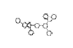 c1ccc(-c2cnc3c(c2)nc(-c2ccc(-c4cc(-c5cccnc5)cc(-c5cc6ccccc6c6ccccc56)c4)cc2)n3-c2ccccc2)cc1